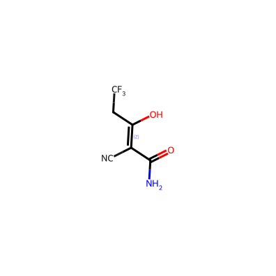 N#C/C(C(N)=O)=C(/O)CC(F)(F)F